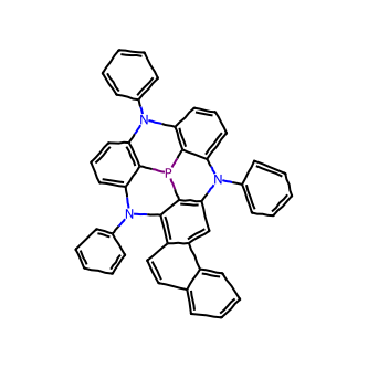 c1ccc(N2c3cccc4c3P3c5c2cccc5N(c2ccccc2)c2c3c(cc3c2ccc2ccccc23)N4c2ccccc2)cc1